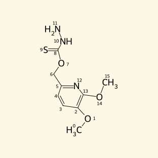 COc1ccc(COC(=S)NN)nc1OC